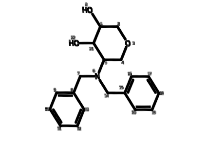 OC1COCC(N(Cc2ccccc2)Cc2ccccc2)C1O